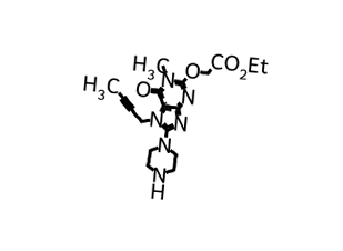 CC#CCn1c(N2CCNCC2)nc2nc(OCC(=O)OCC)n(C)c(=O)c21